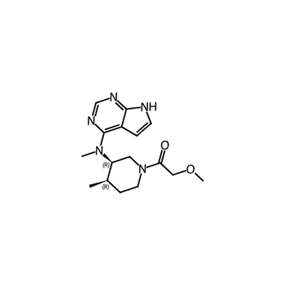 COCC(=O)N1CC[C@@H](C)[C@@H](N(C)c2ncnc3[nH]ccc23)C1